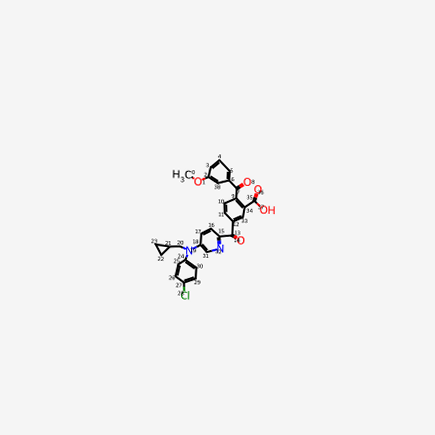 COc1cccc(C(=O)c2ccc(C(=O)c3ccc(N(CC4CC4)c4ccc(Cl)cc4)cn3)cc2C(=O)O)c1